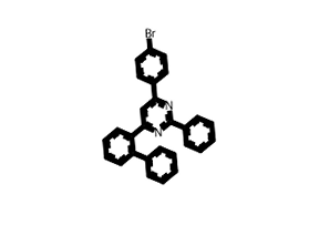 Brc1ccc(-c2cc(-c3ccccc3-c3ccccc3)nc(-c3ccccc3)n2)cc1